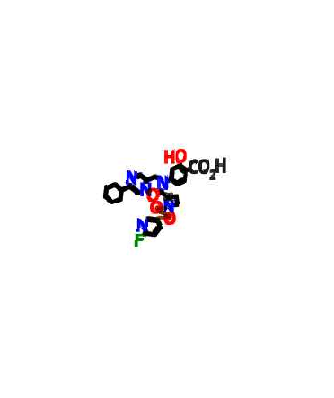 O=C(O)c1ccc(N(Cc2cnc(C3CCCCC3)cn2)C(=O)[C@H]2CCN2S(=O)(=O)c2ccc(F)nc2)cc1O